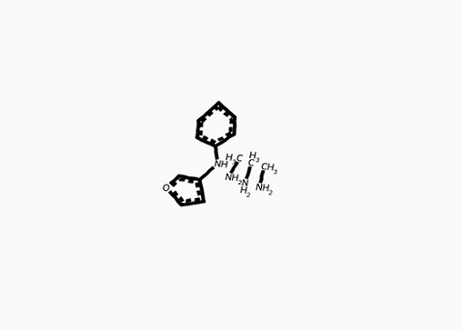 CN.CN.CN.c1ccc(Nc2ccoc2)cc1